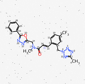 Cc1nnn(Cc2cc(C(F)(F)F)ccc2/C=C/C(=O)N(C)Cc2nnc(-c3ccccc3)o2)n1